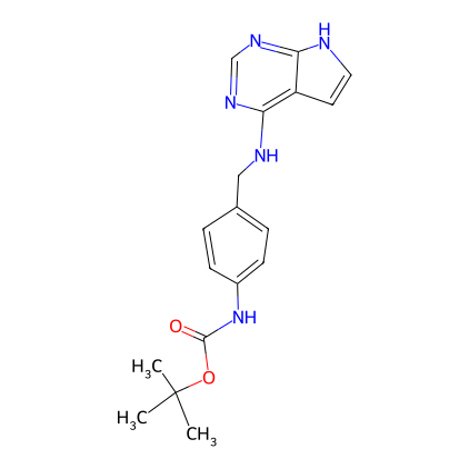 CC(C)(C)OC(=O)Nc1ccc(CNc2ncnc3[nH]ccc23)cc1